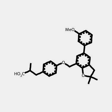 COc1cccc(-c2cc(COc3ccc(CC(C)C(=O)O)cc3)c3c(c2)CC(C)(C)O3)c1